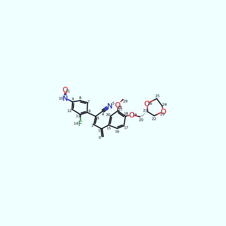 C=C(/C=C(\C#N)c1ccc(N=O)cc1F)c1ccc(OC[C@H]2COCCO2)c(OC)c1